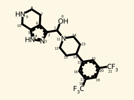 OC(c1n[nH]c2c1CCNC2)N1CCC(c2cc(C(F)(F)F)cc(C(F)(F)F)c2)CC1